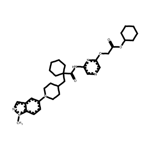 Cn1ncc2cc(N3CCC(CC4(C(=O)Nc5cncc(OCC(=O)OC6CCCCC6)n5)CCCCC4)CC3)ccc21